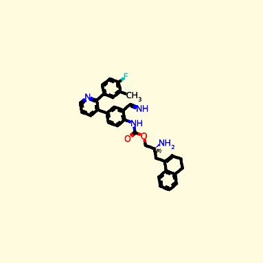 Cc1cc(-c2ncccc2-c2ccc(NC(=O)OC[C@H](N)CC3=CCCc4ccccc43)c(C=N)c2)ccc1F